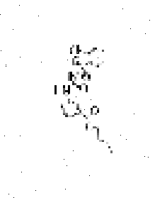 CCCCOC(=O)c1cccc(NC(=O)NS(=O)(=O)c2ccccc2Cl)c1